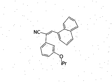 CC(C)Oc1cccc(C(C#N)=Cc2cccc3ccccc23)c1